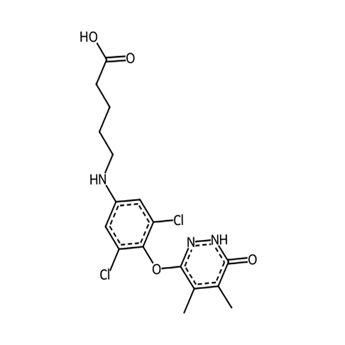 Cc1c(Oc2c(Cl)cc(NCCCCC(=O)O)cc2Cl)n[nH]c(=O)c1C